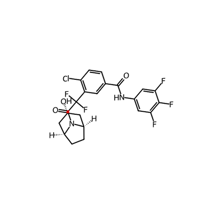 O=C(Nc1cc(F)c(F)c(F)c1)c1ccc(Cl)c(C(F)(F)C(=O)N2[C@@H]3CC[C@H]2C[C@H](O)C3)c1